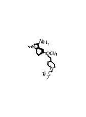 Cl.Nc1c[nH]c2ccc(OCCC3CCN(CC(F)(F)F)CC3)cc12